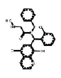 CNCC(=O)N(Cc1ccccc1)C(c1ccccc1Cl)c1cc(Cl)c2cccnc2c1O